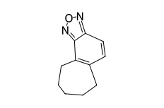 c1cc2nonc2c2c1CCCCC2